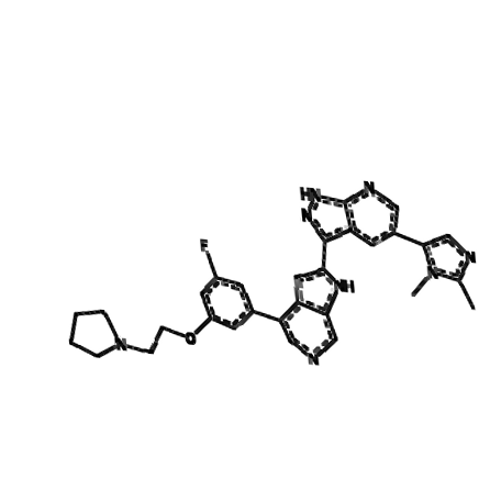 Cc1ncc(-c2cnc3[nH]nc(-c4cc5c(-c6cc(F)cc(OCCN7CCCC7)c6)cncc5[nH]4)c3c2)n1C